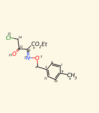 CCOC(=O)/C(=N\OCc1ccc(C)cc1)C(=O)CCl